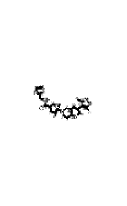 Cc1cc(C(=O)NCc2nccs2)cnc1N1CCc2ncc(-c3c(C)noc3C)cc2C1